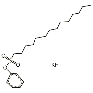 CCCCCCCCCCCCCCS(=O)(=O)Oc1ccccc1.[KH]